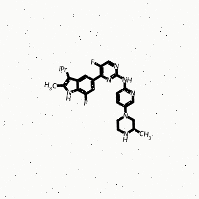 Cc1[nH]c2c(F)cc(-c3nc(Nc4ccc(N5CCNC(C)C5)cn4)ncc3F)cc2c1C(C)C